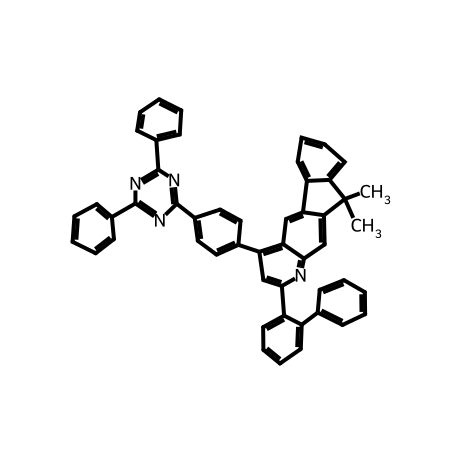 CC1(C)c2ccccc2-c2cc3c(-c4ccc(-c5nc(-c6ccccc6)nc(-c6ccccc6)n5)cc4)cc(-c4ccccc4-c4ccccc4)nc3cc21